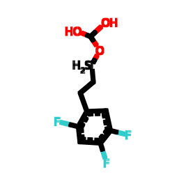 OC(O)O[SiH2]CCc1cc(F)c(F)cc1F